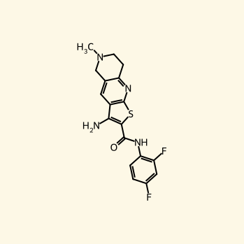 CN1CCc2nc3sc(C(=O)Nc4ccc(F)cc4F)c(N)c3cc2C1